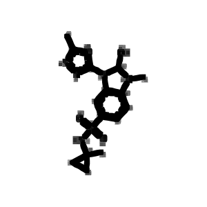 Cc1nnc(N2c3cc(S(=O)(=O)NC4(C)CC4)ccc3N(C)C2O)o1